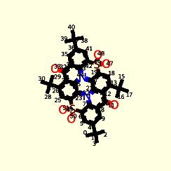 CC(C)(C)c1cc2c3c(c1)c(=O)c1c(C(C)(C)C)cc4c5c1n3c1c(cc(C(C)(C)C)c3c(=O)c6cc(C(C)(C)C)cc(c6n5c31)S4(=O)=O)S2(=O)=O